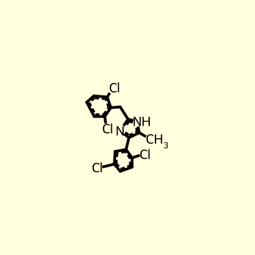 Cc1[nH]c(Cc2c(Cl)cccc2Cl)nc1-c1cc(Cl)ccc1Cl